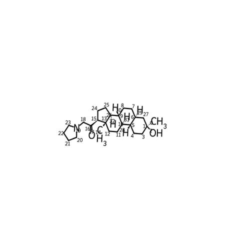 C[C@]1(O)CC[C@H]2[C@@H](CC[C@@H]3[C@@H]2CC[C@]2(C)[C@@H](C(=O)CN4CCCC4)CC[C@@H]32)C1